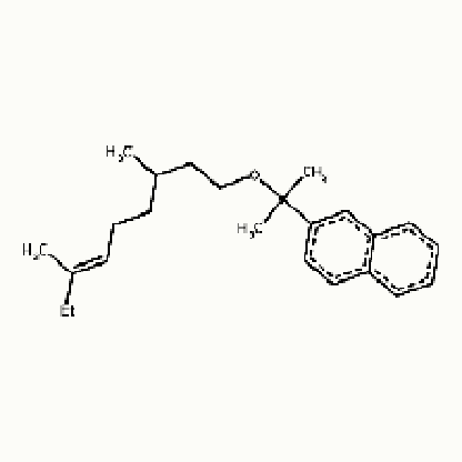 CCC(C)=CCCC(C)CCOC(C)(C)c1ccc2ccccc2c1